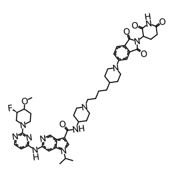 COC1CCN(c2nccc(Nc3cc4c(cn3)c(C(=O)NC3CCN(CCCCC5CCN(c6ccc7c(c6)C(=O)N(C6CCC(=O)NC6=O)C7=O)CC5)CC3)cn4C(C)C)n2)C[C@H]1F